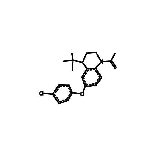 C=C(C)N1CCC(C(C)(C)C)c2cc(Oc3ccc(Cl)cc3)ccc21